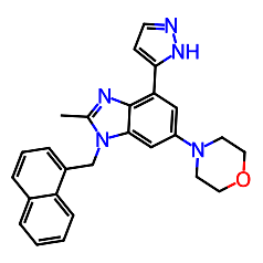 Cc1nc2c(-c3ccn[nH]3)cc(N3CCOCC3)cc2n1Cc1cccc2ccccc12